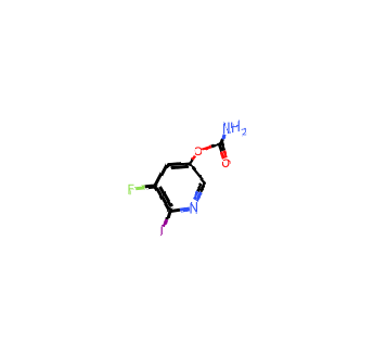 NC(=O)Oc1cnc(I)c(F)c1